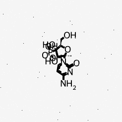 C[C@@]1(n2ccc(N)nc2=O)O[C@H](CO)[C@](O)(P(=O)(O)O)[C@H]1O